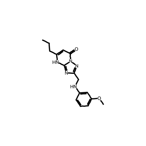 CCCc1cc(=O)n2nc(CNc3cccc(OC)c3)nc2[nH]1